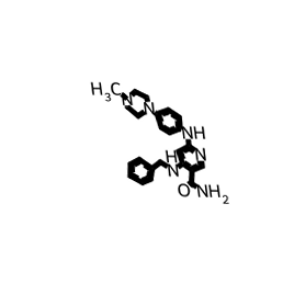 CN1CCN(c2ccc(Nc3cc(NCc4ccccc4)c(C(N)=O)cn3)cc2)CC1